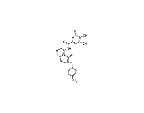 N#Cc1cc(C(=O)Nc2cccc3ncn(Cc4ccc(P)cc4)c(=O)c23)cc(F)c1O